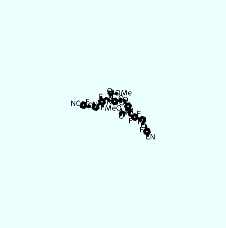 COC[C@@H]1COC[C@@H]1n1c(Cc2cc(F)c(-c3cccc(OCc4ccc(C#N)cc4F)n3)cc2F)nc2ccc(C(=O)OC(=O)c3ccc4nc(Cc5cc(F)c(-c6cccc(OCc7ccc(C#N)cc7F)n6)cc5F)n([C@H]5COC[C@H]5COC)c4c3)cc21